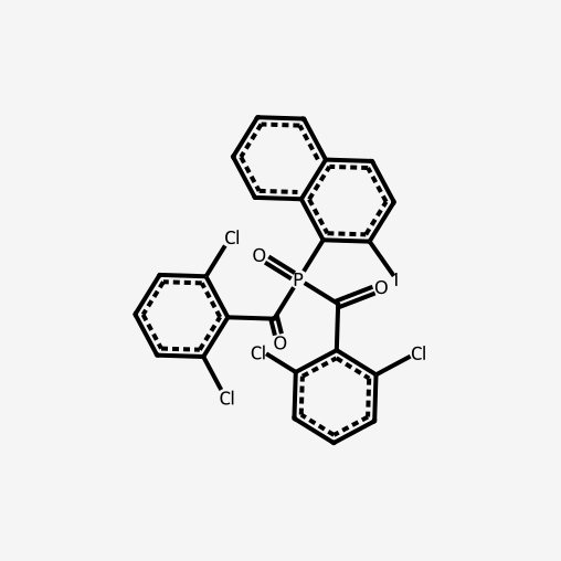 O=C(c1c(Cl)cccc1Cl)P(=O)(C(=O)c1c(Cl)cccc1Cl)c1c(I)ccc2ccccc12